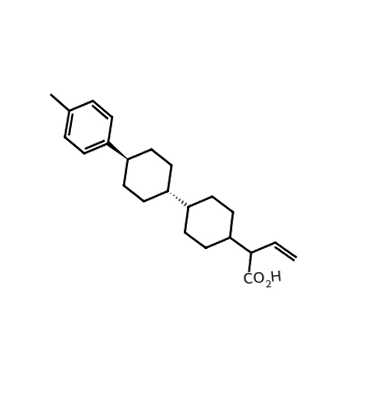 C=CC(C(=O)O)C1CCC([C@H]2CC[C@H](c3ccc(C)cc3)CC2)CC1